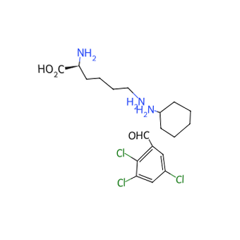 NC1CCCCC1.NCCCC[C@H](N)C(=O)O.O=Cc1cc(Cl)cc(Cl)c1Cl